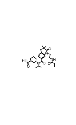 CCC(=O)NCCN1C(=O)C(C)(C)Cc2ccc(C(=O)N(C(C)C)[C@@H]3CCCN(C(=O)O)C3)cc21